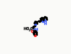 CC1(C(=O)N[C@@H](CCN2CC[C@H](CCc3ccc4c(n3)NCCC4)C2)C(=O)O)CCOCC1